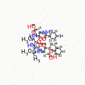 CC(C)[C@H](NC(=O)[C@H](C)NC(=O)[C@H](CC(=O)O)NC(=O)c1ccc(I)cc1)C(=O)N[C@@H](CC(=O)O)C(=O)CCCc1ccccc1